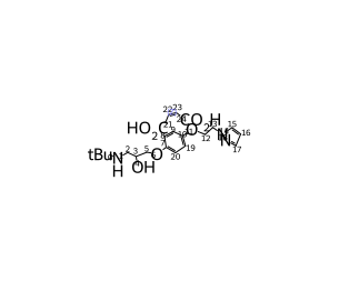 CC(C)(C)NCC(O)COc1ccc(OCCn2cccn2)cc1.O=C(O)/C=C\C(=O)O